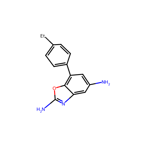 CCc1ccc(-c2cc(N)cc3nc(N)oc23)cc1